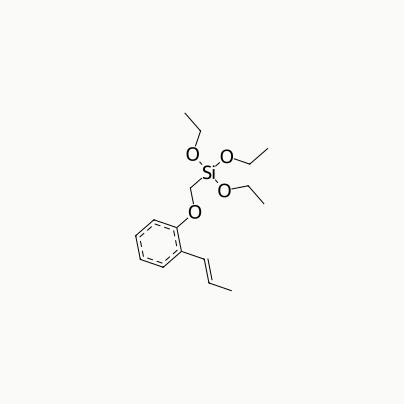 CC=Cc1ccccc1OC[Si](OCC)(OCC)OCC